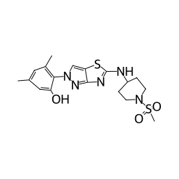 Cc1cc(C)c(-n2cc3sc(NC4CCN(S(C)(=O)=O)CC4)nc3n2)c(O)c1